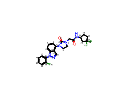 O=C(CN1CCN(c2cccc3c2cnn3-c2ccccc2F)C1=O)NC1CCC(F)(F)C1